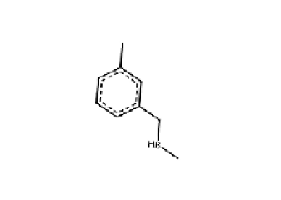 CBCc1cccc(C)c1